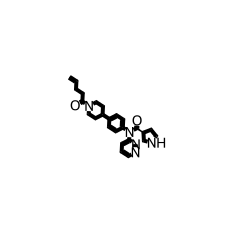 C=CCCC(=O)N1CCC(c2ccc(N(C(=O)[C@H]3CCNC3)c3cccnn3)cc2)CC1